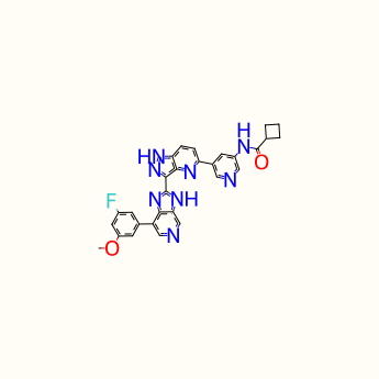 COc1cc(F)cc(-c2cncc3[nH]c(-c4n[nH]c5ccc(-c6cncc(NC(=O)C7CCC7)c6)nc45)nc23)c1